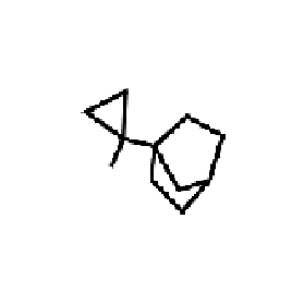 CC1(C23CCC(CC2)C3)[CH]C1